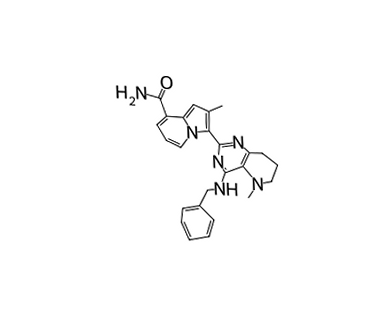 Cc1cc2c(C(N)=O)cccn2c1-c1nc2c(c(NCc3ccccc3)n1)N(C)CCC2